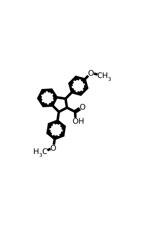 COc1ccc(C2c3ccccc3C(c3ccc(OC)cc3)C2C(=O)O)cc1